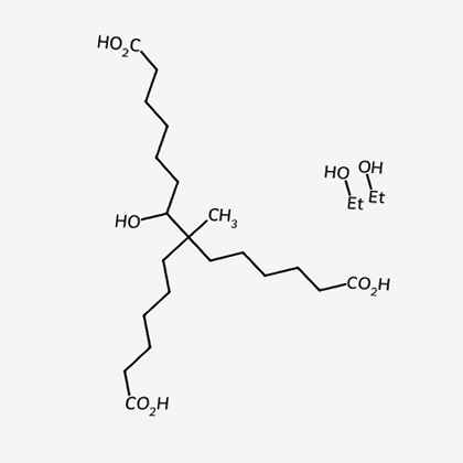 CC(CCCCCC(=O)O)(CCCCCC(=O)O)C(O)CCCCCC(=O)O.CCO.CCO